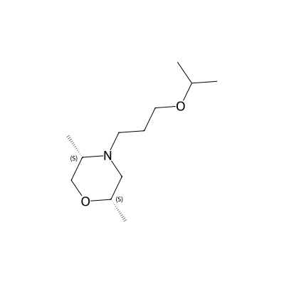 CC(C)OCCCN1C[C@H](C)OC[C@@H]1C